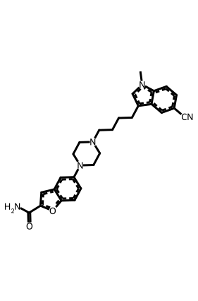 Cn1cc(CCCCN2CCN(c3ccc4oc(C(N)=O)cc4c3)CC2)c2cc(C#N)ccc21